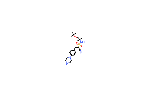 CN1CCN(c2ccc(/C=C(\C#N)S(=O)(=O)NC(C)(C)COC(C)(C)C)cc2)CC1